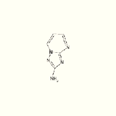 Nc1nc2ncccn2n1